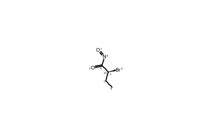 CC[C@H](Br)C(=O)N=O